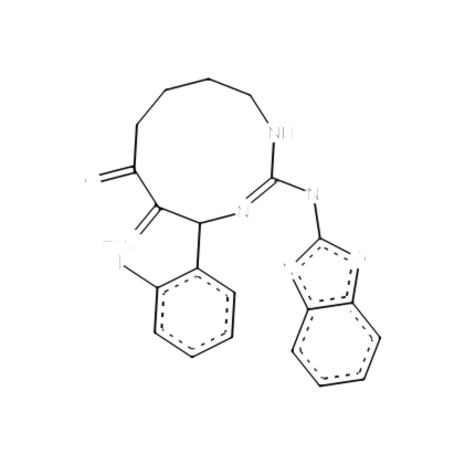 C=C1C(=O)CCCCN/C(Nc2nc3ccccc3o2)=N\C1c1ccccc1I